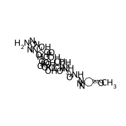 COC[C@H]1C2CCc3nnn(CCNC(=O)CCNC(=O)C(O)C(C)(C)COP(=O)(O)OP(=O)(O)OCC4OC(n5cnc6c(N)ncnc65)C(O)C4OP(=O)(O)O)c3CCC21